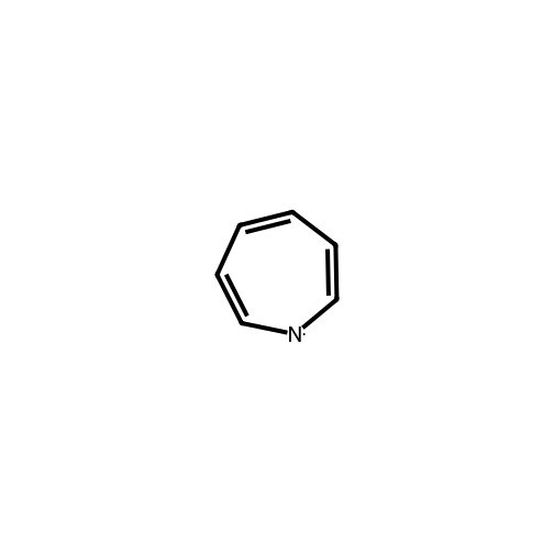 C1=CC=C[N]C=C1